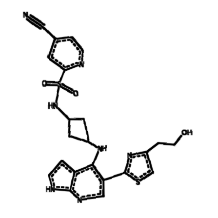 N#Cc1ccnc(S(=O)(=O)NC2CC(Nc3c(-c4nc(CCO)cs4)cnc4[nH]ccc34)C2)c1